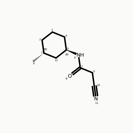 C[C@@H]1CCC[C@@H](NC(=O)CC#N)C1